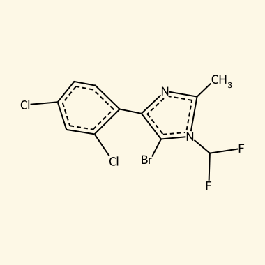 Cc1nc(-c2ccc(Cl)cc2Cl)c(Br)n1C(F)F